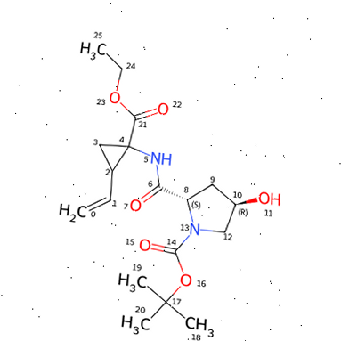 C=CC1CC1(NC(=O)[C@@H]1C[C@@H](O)CN1C(=O)OC(C)(C)C)C(=O)OCC